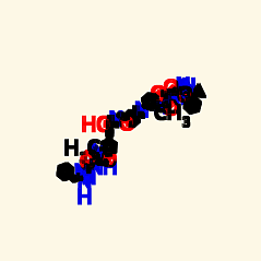 CN1C(=O)C(NC(=O)c2n[nH]c(Cc3ccccc3)n2)COc2ccc(C#CC3(O)CN(CC4CC5(CCO4)CN(c4ccc6c(c4)N(C)C(=O)C(NC(=O)c4nnc(C7(c8ccccc8)CC7)o4)CO6)C5)C3)cc21